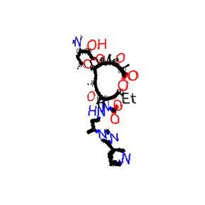 CC[C@H]1OC(=O)[C@H](C)C(=O)[C@H](C)[C@@H](OC2O[C@H](C)C[C@H](N(C)C)[C@H]2O)[C@@](C)(OC)C[C@@H](C)C(=O)[C@H](C)[C@@H]2C1OC(=O)N2NCCC(C)n1cnc(-c2cccnc2)c1